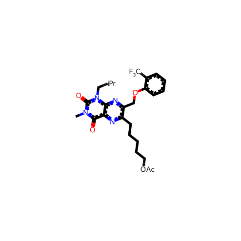 CC(=O)OCCCCCc1nc2c(=O)n(C)c(=O)n(CC(C)C)c2nc1COc1ccccc1C(F)(F)F